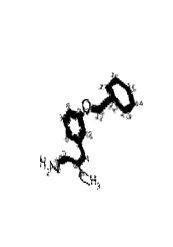 C[C@H](CN)Cc1cccc(OCC2CCCCC2)c1